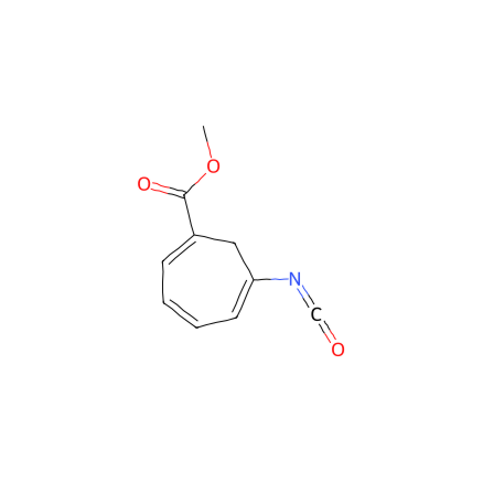 COC(=O)C1=CC=CC=C(N=C=O)C1